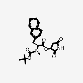 CN(C(=O)OC(C)(C)C)[C@@H](Cc1ccc2ccccc2c1)C(=O)OC1CC(=O)NC1=O